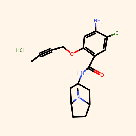 CC#CCOc1cc(N)c(Cl)cc1C(=O)NC1CC2CCC(C1)N2C.Cl